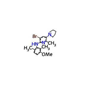 COc1ccc(C)c(Nc2nc(C)c(N3CCCCC3)cc2Br)c1C